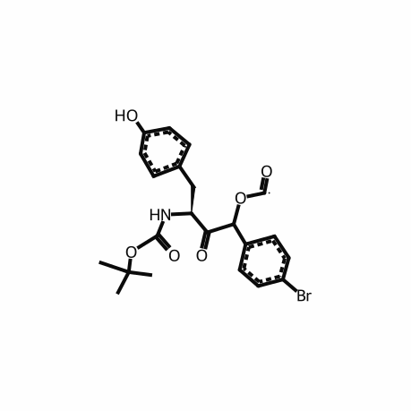 CC(C)(C)OC(=O)N[C@@H](Cc1ccc(O)cc1)C(=O)C(O[C]=O)c1ccc(Br)cc1